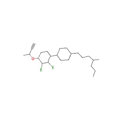 C#CC(C)OC1CCC(C2CCC(CCCC(C)CCC)CC2)C(F)C1F